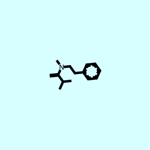 C=C(C(C)C)N(C)CCc1ccccc1